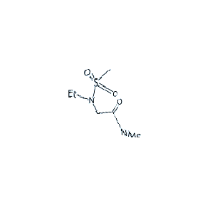 CCN(CC(=O)NC)S(C)(=O)=O